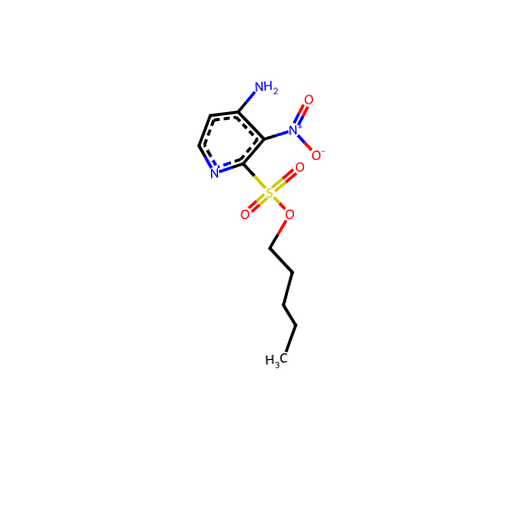 CCCCCOS(=O)(=O)c1nccc(N)c1[N+](=O)[O-]